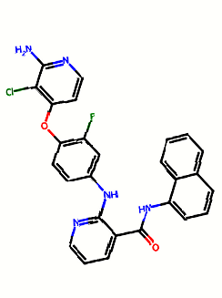 Nc1nccc(Oc2ccc(Nc3ncccc3C(=O)Nc3cccc4ccccc34)cc2F)c1Cl